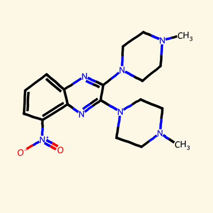 CN1CCN(c2nc3cccc([N+](=O)[O-])c3nc2N2CCN(C)CC2)CC1